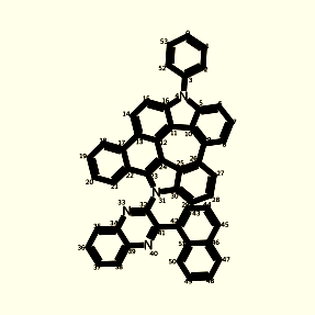 c1ccc(-n2c3cccc4c3c3c5c(ccc32)c2ccccc2c2c5c3c-4cccc3n2-c2nc3ccccc3nc2-c2cccc3ccccc23)cc1